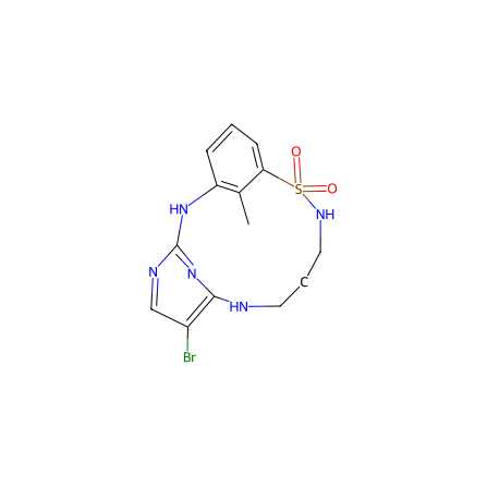 Cc1c2cccc1S(=O)(=O)NCCCNc1nc(ncc1Br)N2